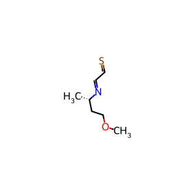 COCC[C@H](C)N=CC=S